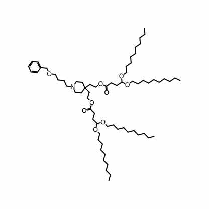 CCCCCCCCCCOC(CCC(=O)OCCC1(CCOC(=O)CCC(OCCCCCCCCCC)OCCCCCCCCCC)CCN(CCCCOCc2ccccc2)CC1)OCCCCCCCCCC